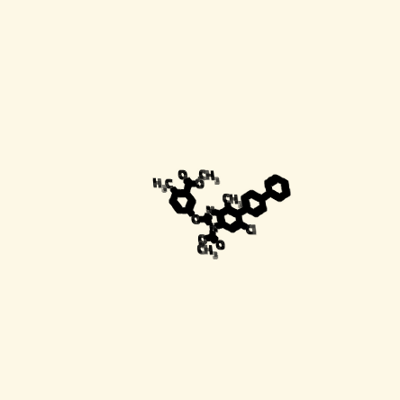 COC(=O)c1cc(Oc2nc3c(C)c(-c4ccc(-c5ccccc5)cc4)c(Cl)cc3n2C(=O)OC)ccc1C